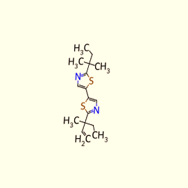 C=CC(C)(CC)c1ncc(-c2cnc(C(C)(C)CC)s2)s1